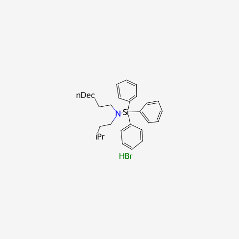 Br.CCCCCCCCCCCCN(CCC(C)C)[Si](c1ccccc1)(c1ccccc1)c1ccccc1